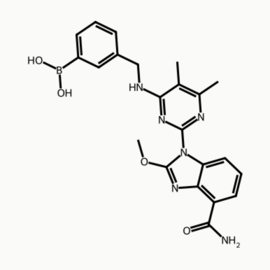 COc1nc2c(C(N)=O)cccc2n1-c1nc(C)c(C)c(NCc2cccc(B(O)O)c2)n1